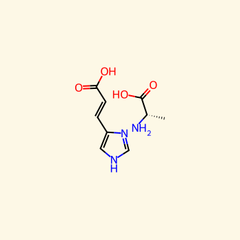 C[C@H](N)C(=O)O.O=C(O)C=Cc1c[nH]cn1